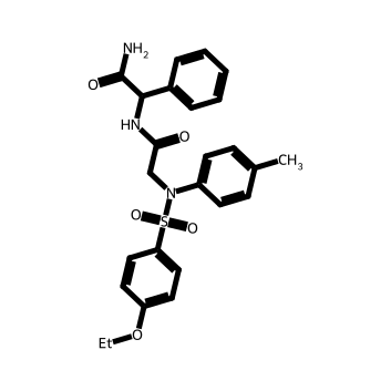 CCOc1ccc(S(=O)(=O)N(CC(=O)NC(C(N)=O)c2ccccc2)c2ccc(C)cc2)cc1